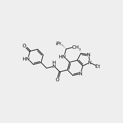 CCn1ncc2c(N[C@@H](C)C(C)C)c(C(=O)NCc3ccc(=O)[nH]c3)cnc21